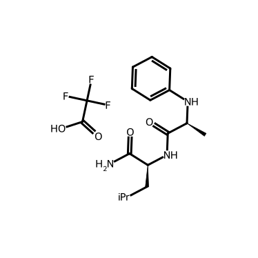 CC(C)C[C@H](NC(=O)[C@H](C)Nc1ccccc1)C(N)=O.O=C(O)C(F)(F)F